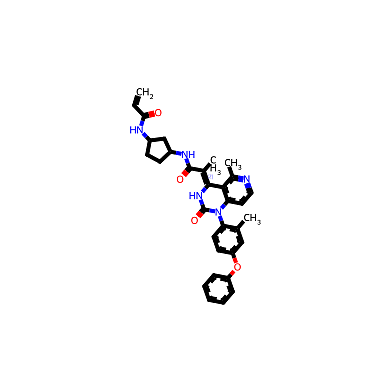 C=CC(=O)NC1CCC(NC(=O)/C(C)=C2\NC(=O)N(c3ccc(Oc4ccccc4)cc3C)c3ccnc(C)c32)C1